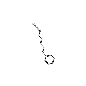 [N-]=[N+]=NCC=CCOc1ccccc1